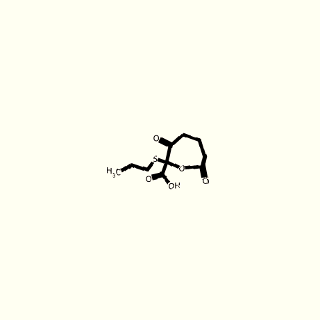 CCCSC1(C(=O)O)OC(=O)CCCC1=O